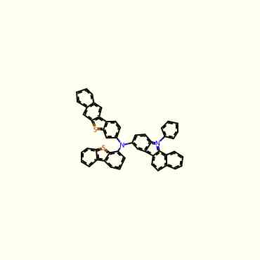 c1ccc(-n2c3ccc(N(c4ccc5c(c4)sc4cc6ccccc6cc45)c4cccc5c4sc4ccccc45)cc3c3ccc4ccccc4c32)cc1